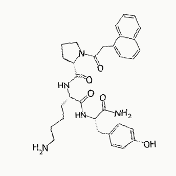 NCCCC[C@H](NC(=O)[C@@H]1CCCN1C(=O)Cc1cccc2ccccc12)C(=O)N[C@@H](Cc1ccc(O)cc1)C(N)=O